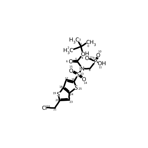 CC(C)(C)OC(=O)N(CP(=O)(O)O)S(=O)(=O)c1cc2sc(CCl)cc2s1